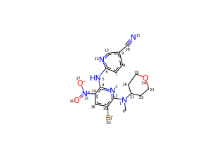 CN(c1nc(Nc2ccc(C#N)cn2)c([N+](=O)[O-])cc1Br)C1CCOCC1